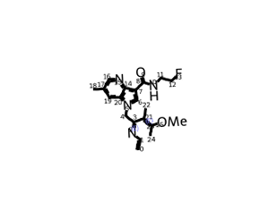 C=C/N=C(Cn1cc(C(=O)NCCF)c2ncc(C)cc21)\C(C)=C(/C)OC